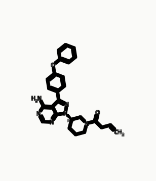 C=CCC(=O)N1CCC[C@@H](n2nc(-c3ccc(Oc4ccccc4)cc3)c3c(N)ncnc32)C1